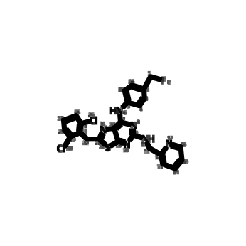 FCc1ccc(Nc2nc(NCc3ccccn3)nc3sc(Cc4c(Cl)cccc4Cl)nc23)cc1